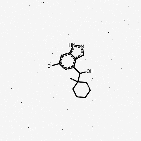 CC1(C(O)c2cc(Cl)cc3[nH]ncc23)CCCCC1